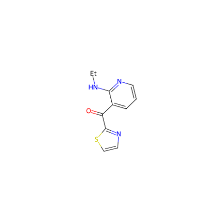 CCNc1ncccc1C(=O)c1nccs1